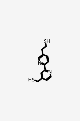 SCCc1ccc(-c2cc(CS)ccn2)nc1